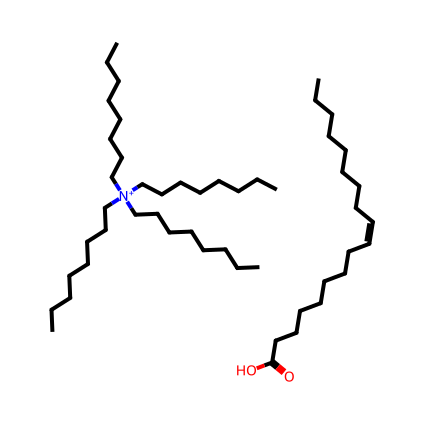 CCCCCCCC/C=C\CCCCCCCC(=O)O.CCCCCCCC[N+](CCCCCCCC)(CCCCCCCC)CCCCCCCC